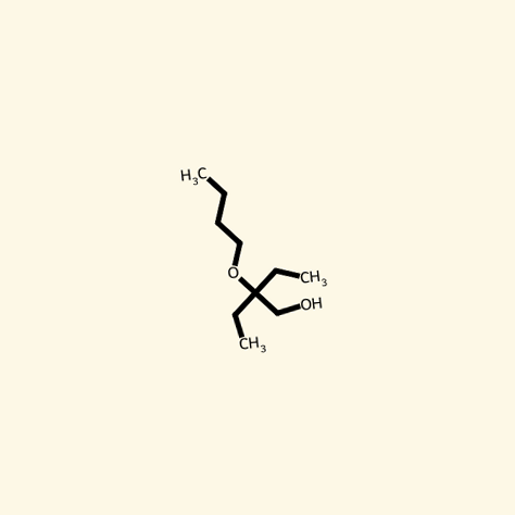 CCCCOC(CC)(CC)CO